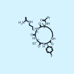 C=C(N)NCCC[C@@H]1NC(=O)[C@](C)(NC(=O)C(C)C)CCCCNC(=O)[C@@H](c2ccc(F)cc2)NC(=O)[C@H](CC)NC1=O